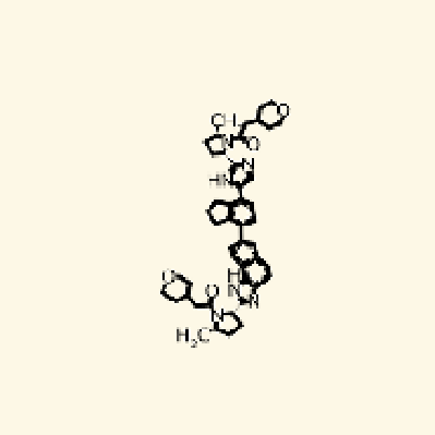 C[C@H]1CC[C@@H](c2ncc(-c3ccc(-c4ccc5c(ccc6nc([C@@H]7CC[C@H](C)N7C(=O)CC7CCOCC7)[nH]c65)c4)c4c3CCC4)[nH]2)N1C(=O)CC1CCOCC1